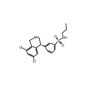 CCCNS(=O)(=O)c1cccc([C@@H]2CNCc3c(Cl)cc(Cl)cc32)c1